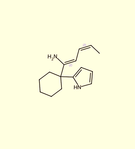 C/C=C\C=C(/N)C1(c2ccc[nH]2)CCCCC1